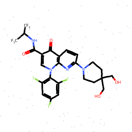 O=C(NC(C(F)(F)F)C(F)(F)F)c1cn(-c2c(F)cc(F)cc2F)c2nc(N3CCC(CO)(CO)CC3)ccc2c1=O